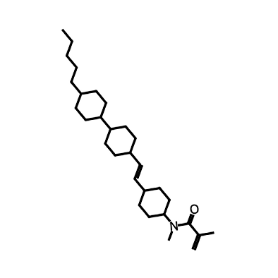 C=C(C)C(=O)N(C)C1CCC(/C=C/C2CCC(C3CCC(CCCCC)CC3)CC2)CC1